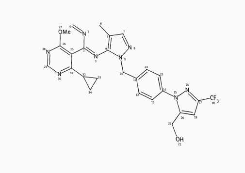 C=N/C(=N\c1c(C)cnn1Cc1ccc(-n2nc(C(F)(F)F)cc2CO)cc1)c1c(OC)ncnc1C1CC1